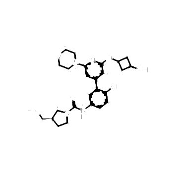 Cc1ccc(NC(=O)N2CC[C@@H](CC(F)(F)F)C2)cc1-c1cc(OC2CC(O)C2)nc(N2CCOCC2)c1